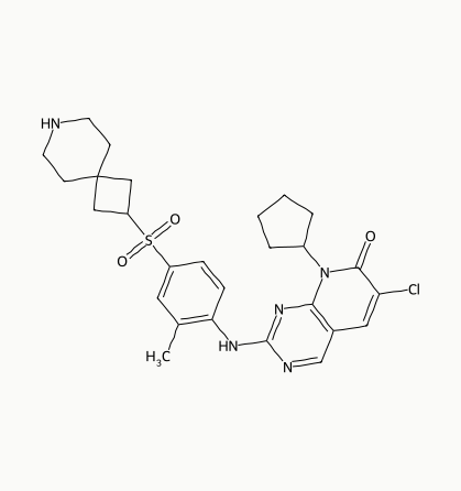 Cc1cc(S(=O)(=O)C2CC3(CCNCC3)C2)ccc1Nc1ncc2cc(Cl)c(=O)n(C3CCCC3)c2n1